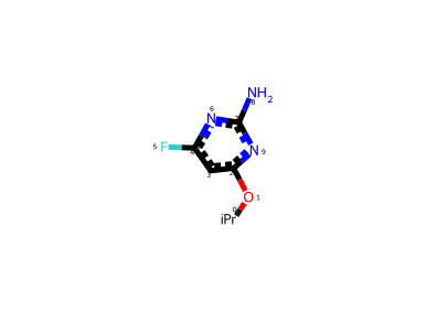 CC(C)Oc1cc(F)nc(N)n1